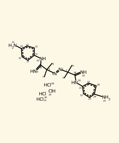 CC(C)(N=NC(C)(C)C(=N)Nc1ccc(N)cc1)C(=N)Nc1ccc(N)cc1.Cl.Cl.Cl.Cl